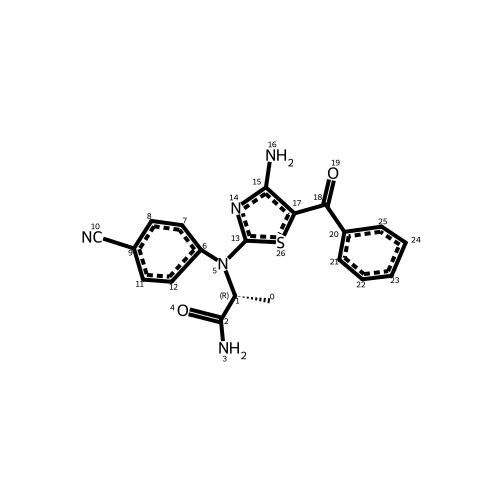 C[C@H](C(N)=O)N(c1ccc(C#N)cc1)c1nc(N)c(C(=O)c2ccccc2)s1